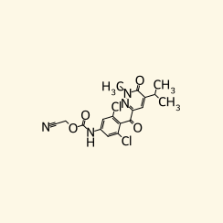 CC(C)c1cc(C(=O)c2c(Cl)cc(NC(=O)OCC#N)cc2Cl)nn(C)c1=O